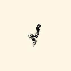 Cc1c(NC(=O)c2ccc(N3CCCCCC3)cc2)cccc1-c1cn(C)c(=O)c(Nc2ccc(C(=O)N3CCOCC3)cc2)n1